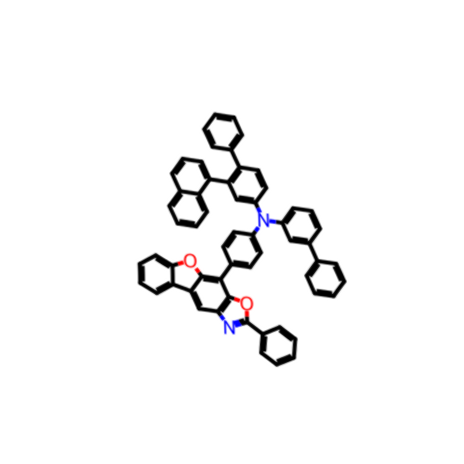 c1ccc(-c2cccc(N(c3ccc(-c4c5oc(-c6ccccc6)nc5cc5c4oc4ccccc45)cc3)c3ccc(-c4ccccc4)c(-c4cccc5ccccc45)c3)c2)cc1